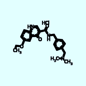 CCOc1ccc2[nH]cc(C(=O)NCc3ccc(CN(C)C)cc3)c(=O)c2c1.Cl